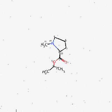 CC(C)OC(=O)[C@@H]1CCCN1C